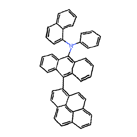 c1ccc(N(c2cccc3ccccc23)c2c3ccccc3c(-c3ccc4ccc5cccc6ccc3c4c56)c3ccccc23)cc1